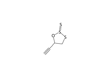 C#CC1CSS(=S)O1